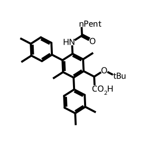 CCCCCC(=O)Nc1c(C)c(C(OC(C)(C)C)C(=O)O)c(-c2ccc(C)c(C)c2)c(C)c1-c1ccc(C)c(C)c1